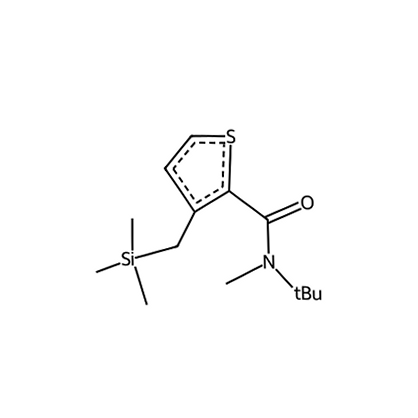 CN(C(=O)c1sccc1C[Si](C)(C)C)C(C)(C)C